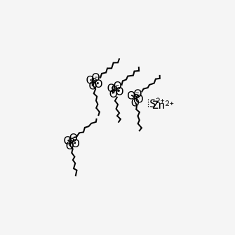 CCCCCCCCOP(=O)([O-])OCCCCCCCC.CCCCCCCCOP(=O)([O-])OCCCCCCCC.CCCCCCCCOP(=O)([O-])OCCCCCCCC.CCCCCCCCOP(=O)([O-])OCCCCCCCC.[S+2].[Zn+2]